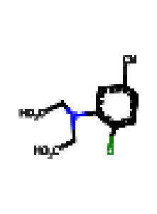 N#Cc1ccc(Cl)c(N(CC(=O)O)CC(=O)O)c1